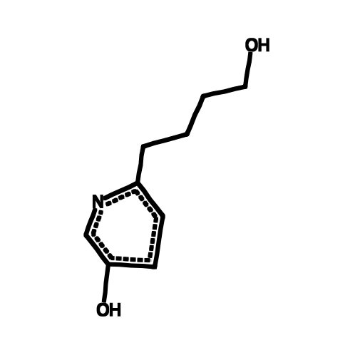 OCCCCc1ccc(O)cn1